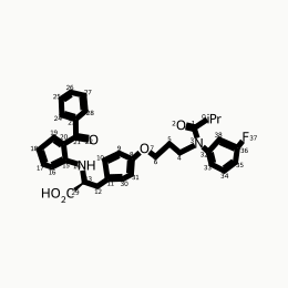 CC(C)C(=O)N(CCCOc1ccc(C[C@H](Nc2ccccc2C(=O)c2ccccc2)C(=O)O)cc1)c1cccc(F)c1